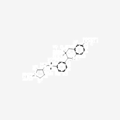 CN1CCC(NS(=O)(=O)c2cccc(C3Nc4ccc(C(=O)O)cc4CC3(C)C)c2)C1